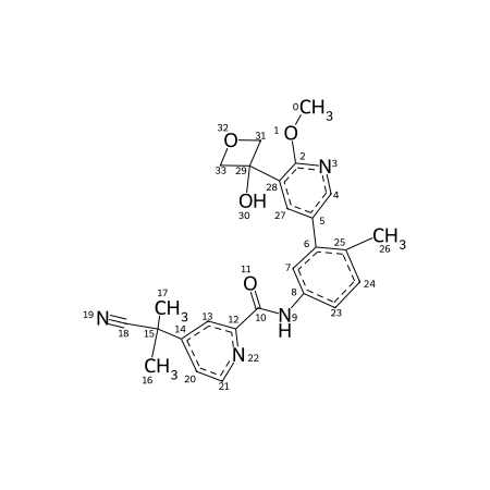 COc1ncc(-c2cc(NC(=O)c3cc(C(C)(C)C#N)ccn3)ccc2C)cc1C1(O)COC1